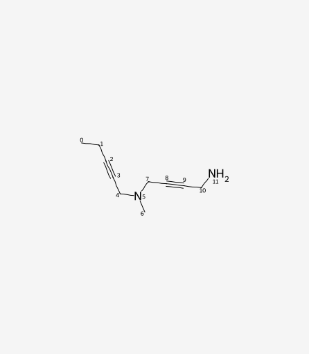 CCC#CCN(C)CC#CCN